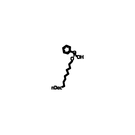 CCCCCCCCCCCCCCCCCCCOP(O)Oc1ccccc1